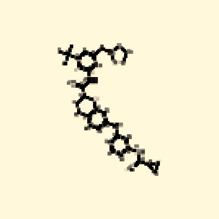 CC(C)(C)c1cc(CN2CCCC2)cc(NC(=O)C2CCc3ccc(Oc4ccnc(NC(=O)C5CC5)c4)cc3C2)c1